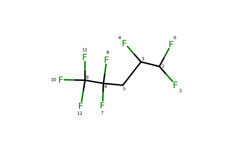 F[C](F)C(F)CC(F)(F)C(F)(F)F